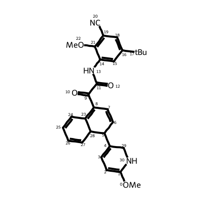 COC1=CC=C(C2C=CC(C(=O)C(=O)Nc3cc(C(C)(C)C)cc(C#N)c3OC)=C3C=CC=CC32)CN1